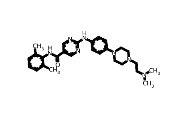 Cc1cccc(C)c1NC(=O)c1cnc(Nc2ccc(N3CCN(CCN(C)C)CC3)cc2)nc1